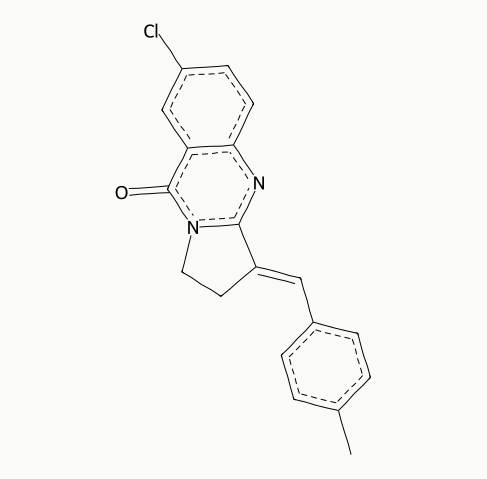 Cc1ccc(/C=C2\CCn3c2nc2ccc(Cl)cc2c3=O)cc1